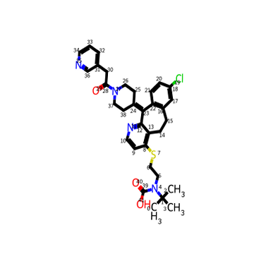 CC(C)(C)N(CCSc1ccnc2c1CCc1cc(Cl)ccc1C2=C1CCN(C(=O)Cc2cccnc2)CC1)C(=O)O